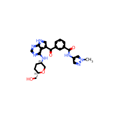 Cn1cc(NC(=O)c2cccc(C(=O)c3c[nH]c4ncnc(N[C@@H]5CC[C@@H](CO)OC5)c34)c2)cn1